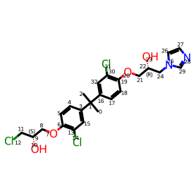 CC(C)(c1ccc(OC[C@H](O)CCl)c(Cl)c1)c1ccc(OC[C@H](O)Cn2ccnc2)c(Cl)c1